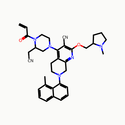 C=CC(=O)N1CCN(c2c(C#N)c(OCC3CCCN3C)nc3c2CCN(c2cccc4cccc(C)c24)C3)CC1CC#N